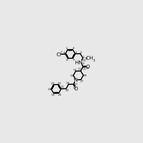 C[C@@H](Cc1ccc(Cl)cc1)NC(=O)C1CCN(C(=O)CCc2ccccc2)CC1